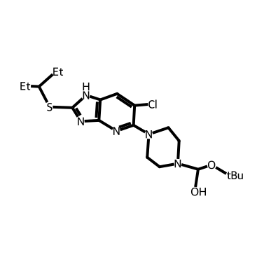 CCC(CC)Sc1nc2nc(N3CCN(C(O)OC(C)(C)C)CC3)c(Cl)cc2[nH]1